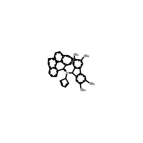 CC(C)(C)c1cc2c(cc1C(C)(C)C)[CH]([Zr](=[C](c1cccc3ccccc13)c1cccc3ccccc13)[CH]1C=CC=C1)c1cc(C(C)(C)C)c(C(C)(C)C)cc1-2